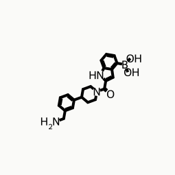 NCc1cccc(C2CCN(C(=O)c3cc4c(B(O)O)cccc4[nH]3)CC2)c1